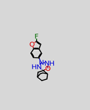 Fc1cc2cc(N3NO[C@@]4(CC5CCC4CC5)N3)ccc2o1